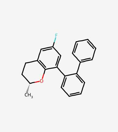 C[C@@H]1CCc2cc(F)cc(-c3ccccc3-c3ccccc3)c2O1